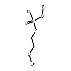 CCOCCSP(=O)(Cl)OCC